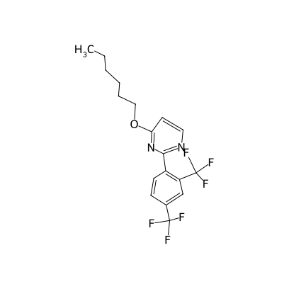 CCCCCCOc1ccnc(-c2ccc(C(F)(F)F)cc2C(F)(F)F)n1